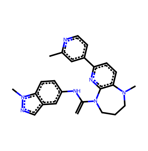 C=C(Nc1ccc2c(cnn2C)c1)N1CCCN(C)c2ccc(-c3ccnc(C)c3)nc21